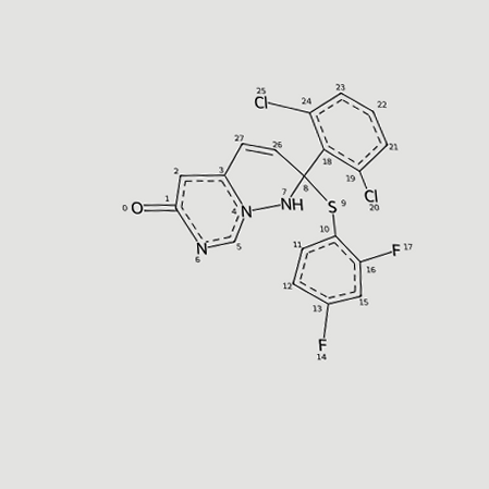 O=c1cc2n(cn1)NC(Sc1ccc(F)cc1F)(c1c(Cl)cccc1Cl)C=C2